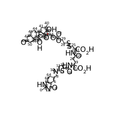 Cc1nc(=O)c2cc(CN(C)c3ccc(C(=O)N[C@@H](CCC(=O)NC(CSSCCOC(=O)OCC(=O)C4(O)C(C)CC5C6CCC7=CC(=O)C=CC7(C)[C@@]6(F)C(O)CC54C)C(=O)O)C(=O)O)s3)ccc2[nH]1